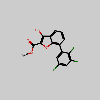 COC(=O)c1oc2c(-c3cc(F)cc(F)c3F)cccc2c1O